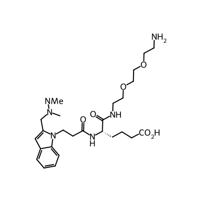 CNN(C)Cc1cc2ccccc2n1CCC(=O)N[C@@H](CCCC(=O)O)C(=O)NCCOCCOCCN